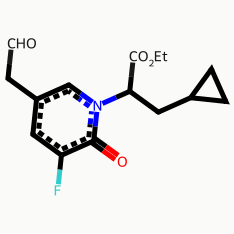 CCOC(=O)C(CC1CC1)n1cc(CC=O)cc(F)c1=O